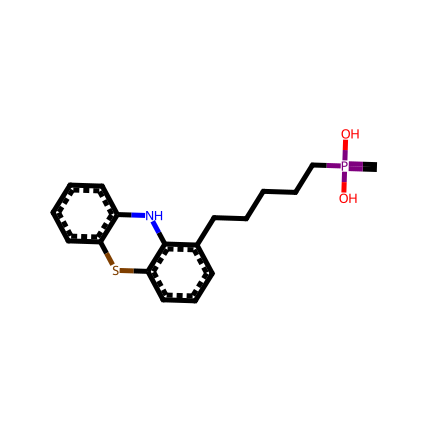 C=P(O)(O)CCCCCc1cccc2c1Nc1ccccc1S2